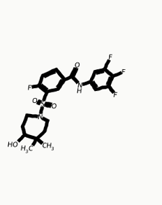 CC1(C)CCN(S(=O)(=O)c2cc(C(=O)Nc3cc(F)c(F)c(F)c3)ccc2F)CCC1O